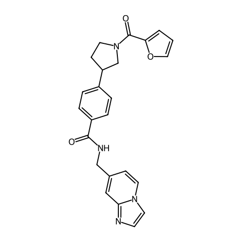 O=C(NCc1ccn2ccnc2c1)c1ccc(C2CCN(C(=O)c3ccco3)C2)cc1